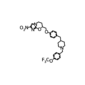 O=[N+]([O-])c1cn2c(n1)OC(COc1ccc(CC3CCN(Cc4ccc(OC(F)(F)F)cc4)CC3)cc1)CC2